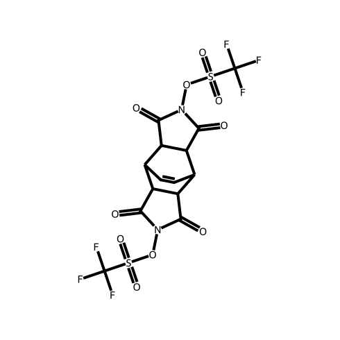 O=C1C2C3C=CC(C2C(=O)N1OS(=O)(=O)C(F)(F)F)C1C(=O)N(OS(=O)(=O)C(F)(F)F)C(=O)C31